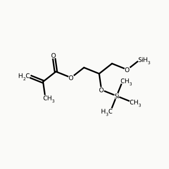 C=C(C)C(=O)OCC(CO[SiH3])O[Si](C)(C)C